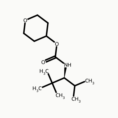 CC(C)[C@H](NC(=O)OC1CCOCC1)C(C)(C)C